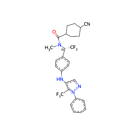 CN(C(=O)C1CCC(C#N)CC1)[C@@H](c1ccc(Nc2cnn(-c3ccccc3)c2C(F)(F)F)cc1)C(F)(F)F